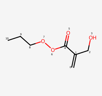 C=C(CO)C(=O)OOCCC